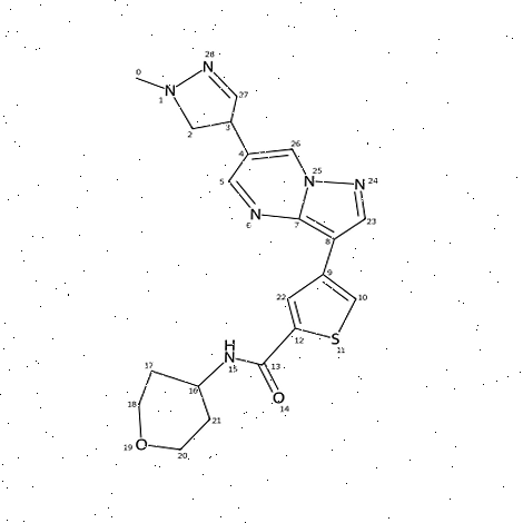 CN1CC(c2cnc3c(-c4csc(C(=O)NC5CCOCC5)c4)cnn3c2)C=N1